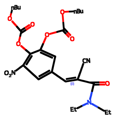 CCCCOC(=O)Oc1cc(/C=C(\C#N)C(=O)N(CC)CC)cc([N+](=O)[O-])c1OC(=O)OCCCC